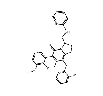 COc1cccc(-c2c(C)c(Cc3ccccc3F)c3n(c2=O)C(CNc2ccccn2)CS3)c1F